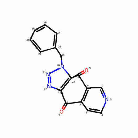 O=C1c2ccncc2C(=O)c2c1nnn2Cc1ccccc1